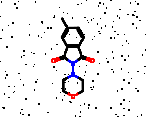 Cc1ccc2c(c1)C(=O)N(N1CCOCC1)C2=O